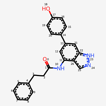 O=C(CCc1ccccc1)Nc1cc(-c2ccc(O)cc2)cc2[nH]ncc12